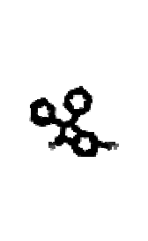 CC(C)c1ccc2c(c1)C(c1ccccc1)C(c1ccccc1)C2=O